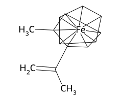 C=C(C)[C]12[CH]3[CH]4[CH]5[C]1(C)[Fe]45321678[CH]2[CH]1[CH]6[CH]7[CH]28